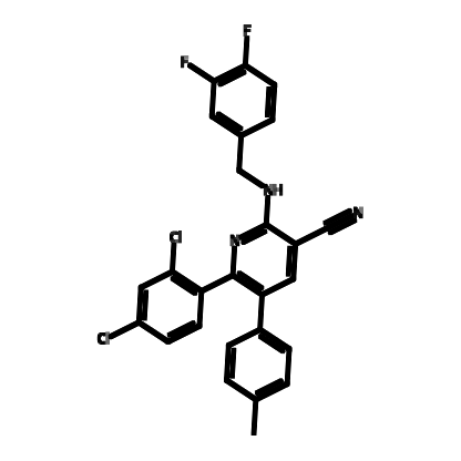 Cc1ccc(-c2cc(C#N)c(NCc3ccc(F)c(F)c3)nc2-c2ccc(Cl)cc2Cl)cc1